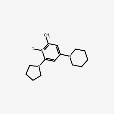 Cc1cc(N2CCCCC2)cc(N2CCCC2)[n+]1[O-]